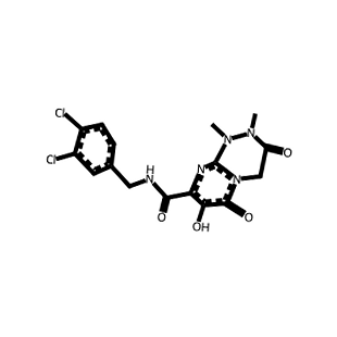 CN1C(=O)Cn2c(nc(C(=O)NCc3ccc(Cl)c(Cl)c3)c(O)c2=O)N1C